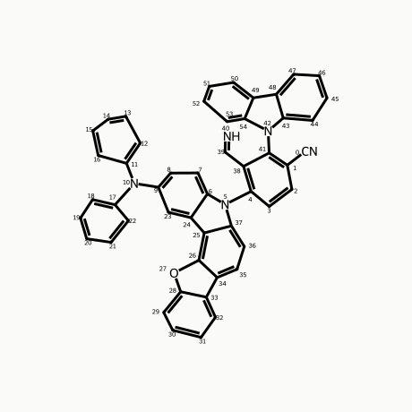 N#Cc1ccc(-n2c3ccc(N(c4ccccc4)c4ccccc4)cc3c3c4oc5ccccc5c4ccc32)c(C=N)c1-n1c2ccccc2c2ccccc21